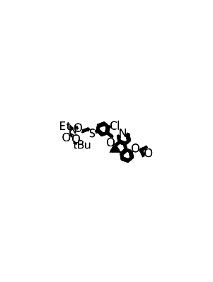 CCN(OCCSc1ccc(Cl)c(COC2(c3cnccc3-c3ccccc3OC3COC3)CC2)c1)C(=O)OC(C)(C)C